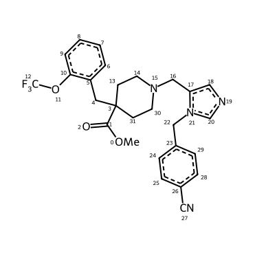 COC(=O)C1(Cc2ccccc2OC(F)(F)F)CCN(Cc2cncn2Cc2ccc(C#N)cc2)CC1